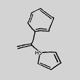 C=C(c1ccccc1)[SH]1C=CC=C1